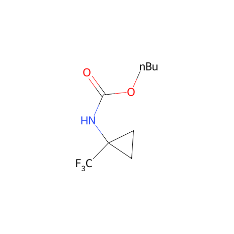 CCCCOC(=O)NC1(C(F)(F)F)CC1